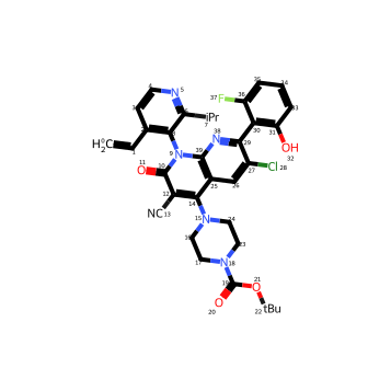 C=Cc1ccnc(C(C)C)c1-n1c(=O)c(C#N)c(N2CCN(C(=O)OC(C)(C)C)CC2)c2cc(Cl)c(-c3c(O)cccc3F)nc21